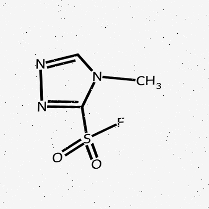 Cn1cnnc1S(=O)(=O)F